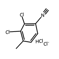 C#[N+]c1ccc(C)c(Cl)c1Cl.Cl.[Cl-]